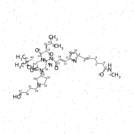 CNC(=O)CCCC#Cc1csc(/C=C/C(=O)N2O[C@H](CC(C)C)C(=O)N3[C@@H]2CN([C@H]2CCN(CCCCO)C2)C(=O)[C@@H]3CC(C)(C)C)n1